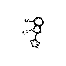 Cc1cccc2cc(-c3nnco3)n(C)c12